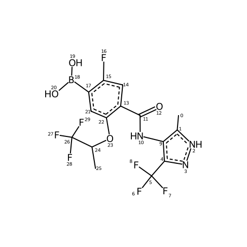 Cc1[nH]nc(C(F)(F)F)c1NC(=O)c1cc(F)c(B(O)O)cc1OC(C)C(F)(F)F